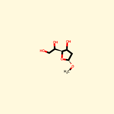 CO[C@H]1CC(O)[C@H](C(O)CO)O1